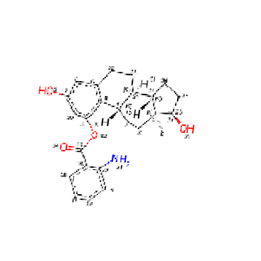 C[C@]12CC[C@@H]3c4c(cc(O)cc4OC(=O)c4ccccc4N)CC[C@H]3[C@@H]1CC[C@H]2O